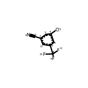 N#Cc1[c]c(Cl)cc(C(F)(F)F)c1